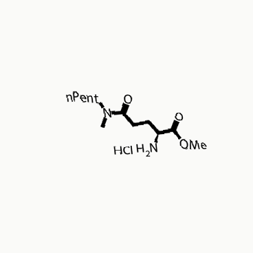 CCCCCN(C)C(=O)CC[C@H](N)C(=O)OC.Cl